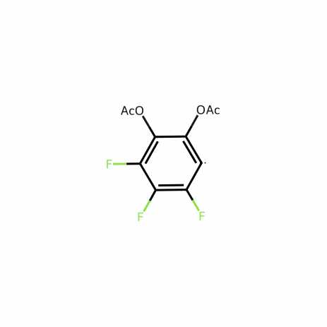 CC(=O)Oc1[c]c(F)c(F)c(F)c1OC(C)=O